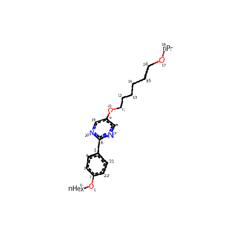 CCCCCCOc1ccc(-c2ncc(OCCCCCCOCCC)cn2)cc1